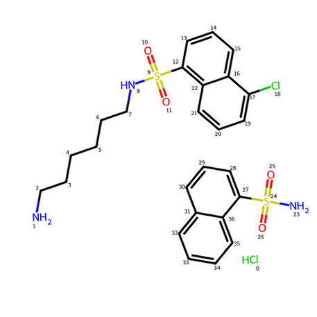 Cl.NCCCCCCNS(=O)(=O)c1cccc2c(Cl)cccc12.NS(=O)(=O)c1cccc2ccccc12